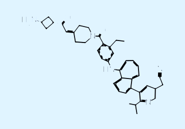 CCc1cc(NC2=CC=CC=C3C2=C=CC=C3C2=CC(CC#N)CN=C2C(C)F)ccc1C(=O)N1CCC(=CC(=O)[C@H]2C[C@H](N)C2)CC1